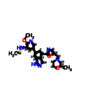 COc1ncc(-c2cc(-c3ncc(CN4CCO[C@H](C)C4)o3)c3cn[nH]c3c2)cc1NSC